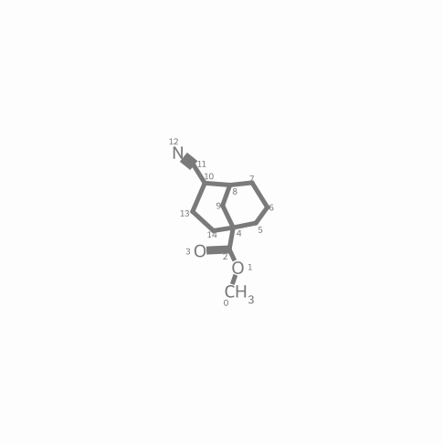 COC(=O)C12CCCC(C1)C(C#N)CC2